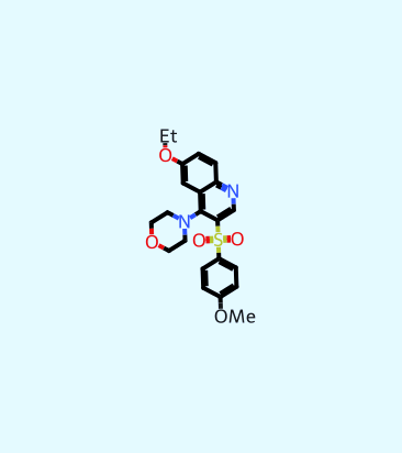 CCOc1ccc2ncc(S(=O)(=O)c3ccc(OC)cc3)c(N3CCOCC3)c2c1